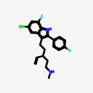 C=CC(CCNC)CCc1c(-c2ccc(F)cc2)[nH]c2c(F)cc(Cl)cc12